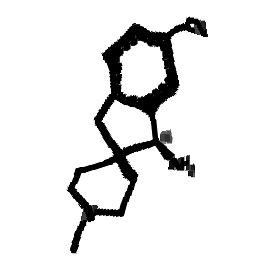 CN1CCC2(CC1)Cc1ccc(C#N)cc1[C@H]2N